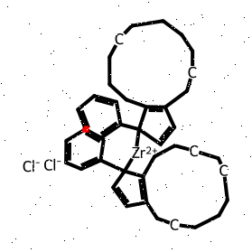 C1=C[C]([Zr+2][C]2(c3ccccc3)C=CC3=C2CCCCCCCCCC3)(c2ccccc2)C2=C1CCCCCCCCCC2.[Cl-].[Cl-]